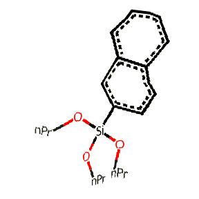 CCCO[Si](OCCC)(OCCC)c1ccc2ccccc2c1